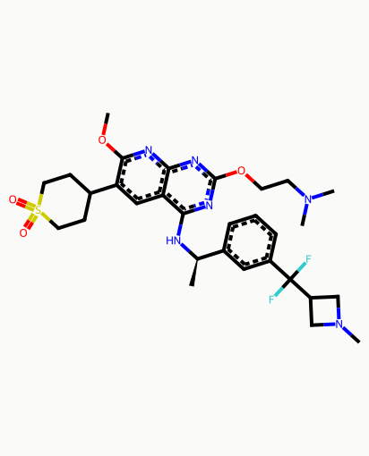 COc1nc2nc(OCCN(C)C)nc(N[C@H](C)c3cccc(C(F)(F)C4CN(C)C4)c3)c2cc1C1CCS(=O)(=O)CC1